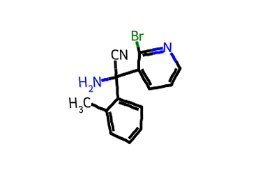 Cc1ccccc1C(N)(C#N)c1cccnc1Br